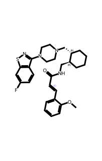 COc1ccccc1/C=C/C(=O)NC[C@@H]1CCCC[C@H]1CN1CCN(c2nsc3cc(F)ccc23)CC1